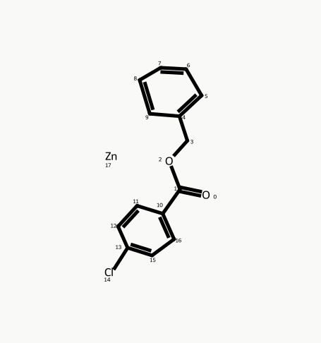 O=C(OCc1ccccc1)c1ccc(Cl)cc1.[Zn]